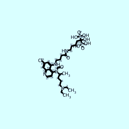 CCN(CC)CCCC(C)N(C=O)c1ccnc2cc(Cl)cc(NCCCC(=O)NCCCCC(O)(P(=O)(O)O)P(=O)(O)O)c12